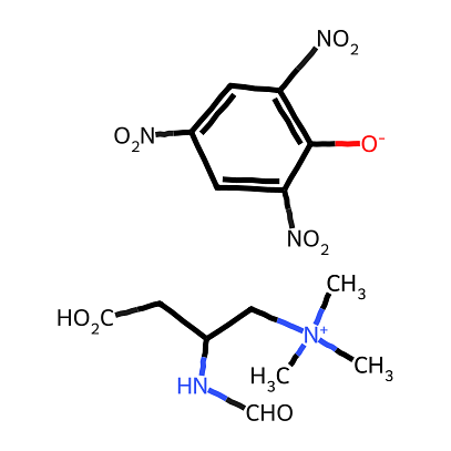 C[N+](C)(C)CC(CC(=O)O)NC=O.O=[N+]([O-])c1cc([N+](=O)[O-])c([O-])c([N+](=O)[O-])c1